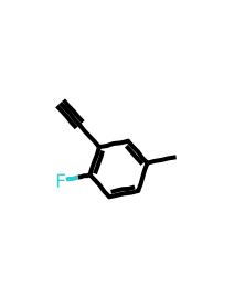 C#Cc1cc(C)ccc1F